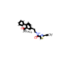 C#Cc1nc(C(=O)NCCc2ccc(-c3ccccc3)c(C(=O)NC)c2)cs1